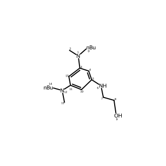 CCCCN(C)c1cc(NCCO)cc(N(C)CCCC)c1